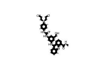 CNC(=O)c1cccc2c(Nc3cc(CO)cc(NC(=O)Nc4ccc(N(CCCl)CCCl)cc4)c3)c3ccccc3nc12